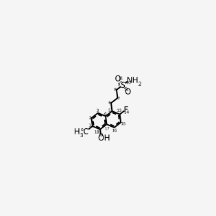 Cc1ccc2c(CCCS(N)(=O)=O)c(F)ccc2c1O